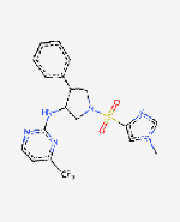 Cn1cnc(S(=O)(=O)N2CC(Nc3nccc(C(F)(F)F)n3)C(c3ccccc3)C2)c1